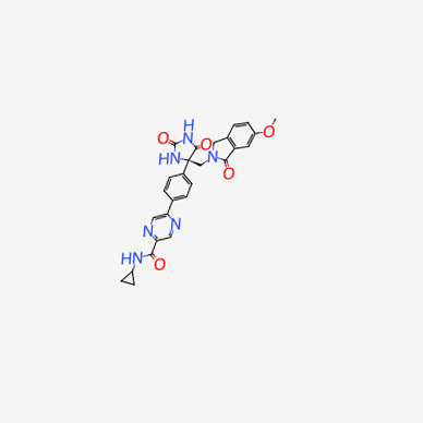 COc1ccc2c(c1)C(=O)N(C[C@@]1(c3ccc(-c4cnc(C(=O)NC5CC5)cn4)cc3)NC(=O)NC1=O)C2